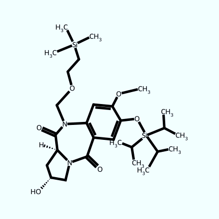 COc1cc2c(cc1O[Si](C(C)C)(C(C)C)C(C)C)C(=O)N1C[C@H](O)C[C@H]1C(=O)N2COCC[Si](C)(C)C